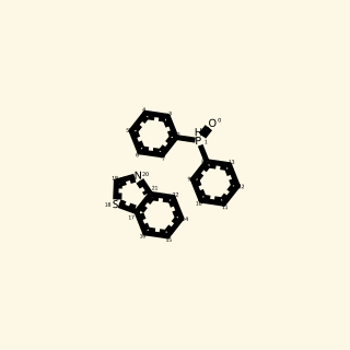 O=[PH](c1ccccc1)c1ccccc1.c1ccc2scnc2c1